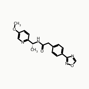 COc1ccc([C@@H](C)NC(=O)Cc2ccc(-c3ncon3)cc2)nc1